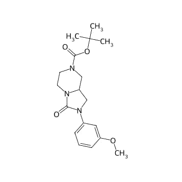 COc1cccc(N2CC3CN(C(=O)OC(C)(C)C)CCN3C2=O)c1